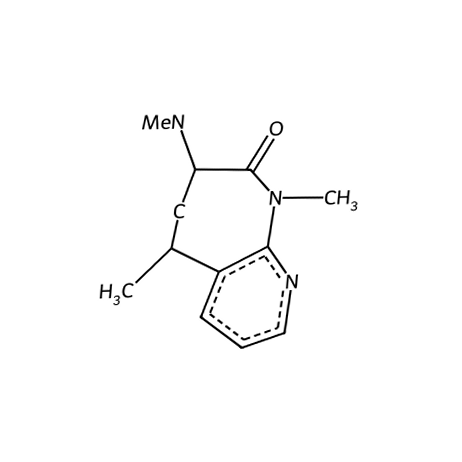 CNC1CC(C)c2cccnc2N(C)C1=O